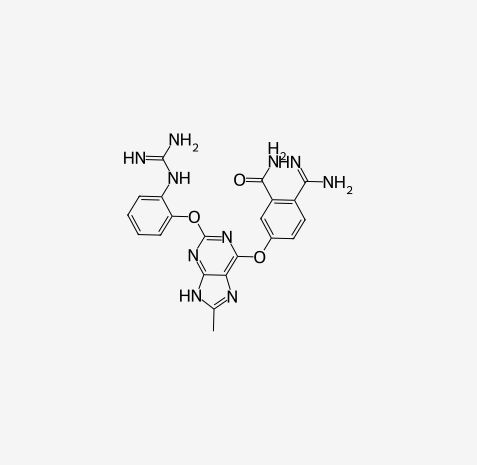 Cc1nc2c(Oc3ccc(C(=N)N)c(C(N)=O)c3)nc(Oc3ccccc3NC(=N)N)nc2[nH]1